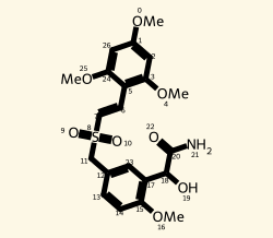 COc1cc(OC)c(C=CS(=O)(=O)Cc2ccc(OC)c(C(O)C(N)=O)c2)c(OC)c1